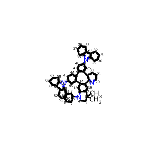 CC1(C)CCN(c2ccccc2)c2cc3c(cc21)-c1ncccc1-c1cc(-n2c4ccccc4c4ccccc42)ccc1-c1ccc(-n2c4ccccc4c4ccccc42)cc1-3